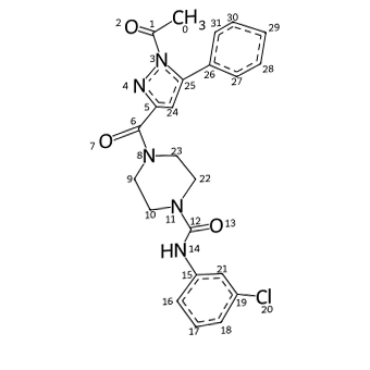 CC(=O)n1nc(C(=O)N2CCN(C(=O)Nc3cccc(Cl)c3)CC2)cc1-c1ccccc1